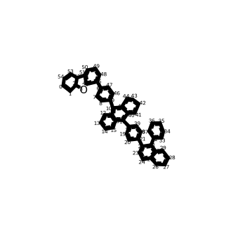 C1=CC2Oc3c(-c4ccc(-c5c6ccccc6c(-c6ccc(-c7ccc8ccccc8c7-c7ccccc7)cc6)c6ccccc56)cc4)cccc3C2C=C1